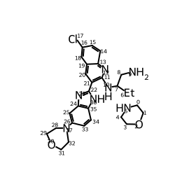 C1COCCN1.CCC(CN)Nc1nc2ccc(Cl)cc2cc1-c1nc2cc(N3CCOCC3)ccc2[nH]1